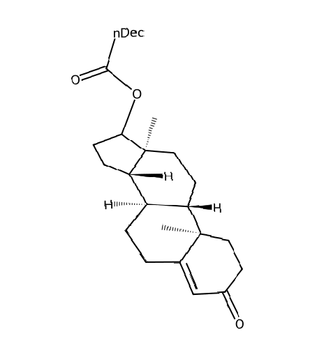 CCCCCCCCCCC(=O)OC1CC[C@H]2[C@@H]3CCC4=CC(=O)CC[C@]4(C)[C@H]3CC[C@]12C